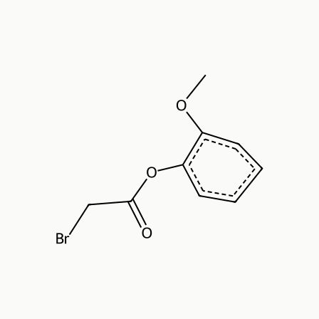 COc1ccccc1OC(=O)CBr